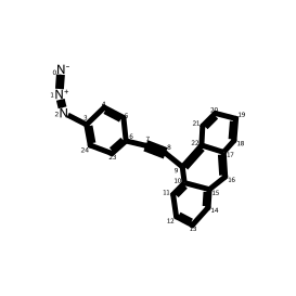 [N-]=[N+]=Nc1ccc(C#Cc2c3ccccc3cc3ccccc23)cc1